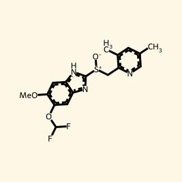 COc1cc2[nH]c([S+]([O-])Cc3ncc(C)cc3C)nc2cc1OC(F)F